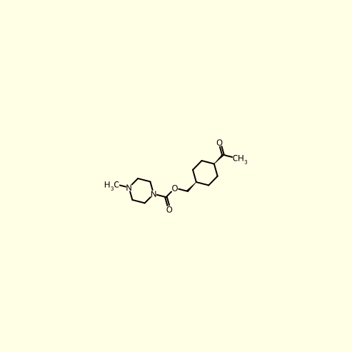 CC(=O)[C@H]1CC[C@@H](COC(=O)N2CCN(C)CC2)CC1